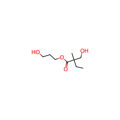 CCC(C)(CO)C(=O)OCCCO